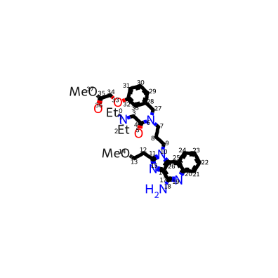 CCN(CC)CC(=O)N(CCCn1c(CCOC)nc2c(N)nc3ccccc3c21)Cc1cccc(OCC(=O)OC)c1